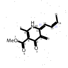 C=c1c(=O)c(C(=O)OC)c(C)[nH]/c1=C/C=C\C